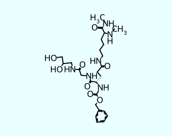 CNC(=O)C(CCCCNC(=O)CC[C@H](NC(=O)OCc1ccccc1)C(=O)NCC(=O)NCC(O)CO)NC